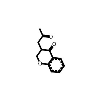 CC(=O)CC1COc2ccccc2C1=O